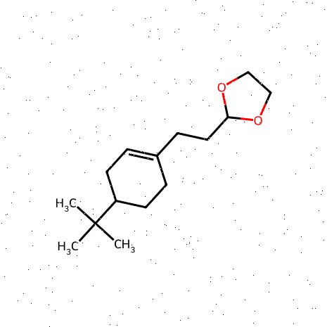 CC(C)(C)C1CC=C(CCC2OCCO2)CC1